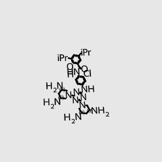 CC(C)c1cc(C(=O)Nc2ccc(Nc3nc(N4C[C@H](N)C[C@H](N)C4)nc(N4C[C@H](N)C[C@H](N)C4)n3)cc2Cl)c(O)c(C(C)C)c1